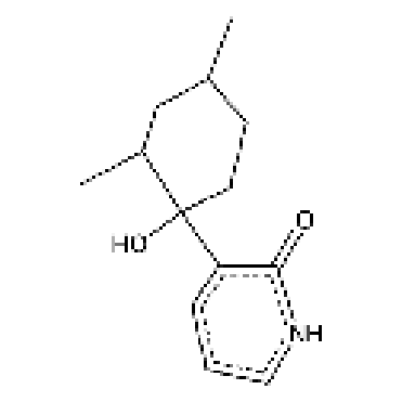 CC1CCC(O)(c2ccc[nH]c2=O)C(C)C1